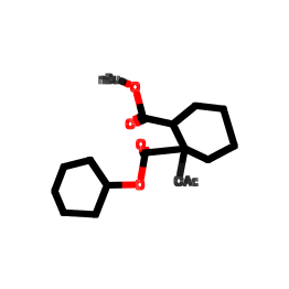 CCCCOC(=O)C1CCCCC1(OC(C)=O)C(=O)OC1CCCCC1